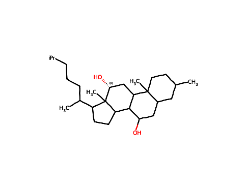 CC(C)CCCC(C)C1CCC2C3C(O)CC4CC(C)CCC4(C)C3C[C@@H](O)C12C